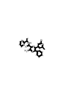 Cc1cc(-c2nc(C(=O)NC(C)c3ncccn3)c(N)nc2-c2ccccc2)cc(Cl)n1